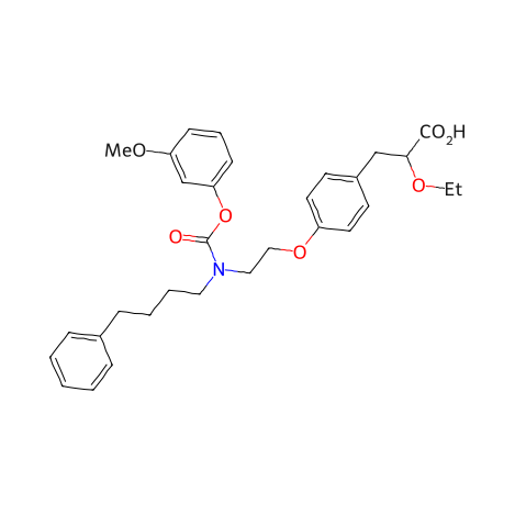 CCOC(Cc1ccc(OCCN(CCCCc2ccccc2)C(=O)Oc2cccc(OC)c2)cc1)C(=O)O